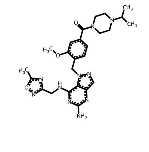 COc1cc(C(=O)N2CCN(C(C)C)CC2)ccc1Cn1ncc2nc(N)nc(NCc3noc(C)n3)c21